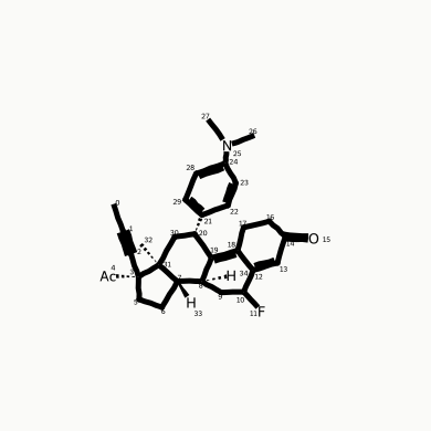 CC#C[C@]1(C(C)=O)CC[C@H]2[C@@H]3CC(F)C4=CC(=O)CCC4=C3[C@@H](c3ccc(N(C)C)cc3)C[C@@]21C